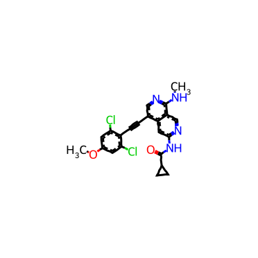 CNc1ncc(C#Cc2c(Cl)cc(OC)cc2Cl)c2cc(NC(=O)C3CC3)ncc12